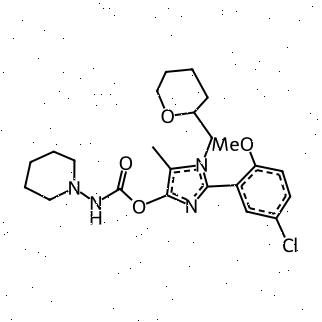 COc1ccc(Cl)cc1-c1nc(OC(=O)NN2CCCCC2)c(C)n1CC1CCCCO1